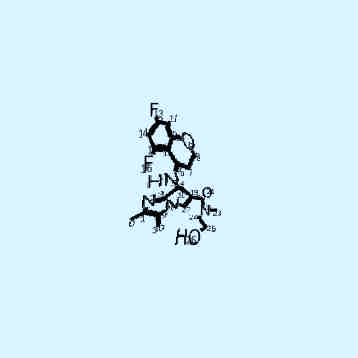 Cc1nc2c(NC3CCOc4cc(F)cc(F)c43)cc(C(=O)N(C)CCO)cn2c1C